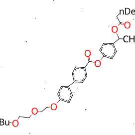 CCCCCCCCCCCC(=O)OC(C)c1ccc(OC(=O)c2ccc(-c3ccc(OCCOCCOCCCC)cc3)cc2)cc1